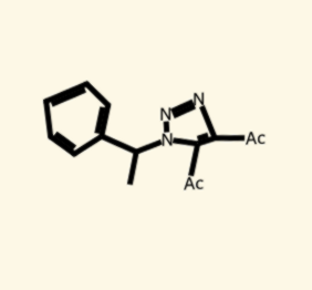 CC(=O)c1nnn(C(C)c2ccccc2)c1C(C)=O